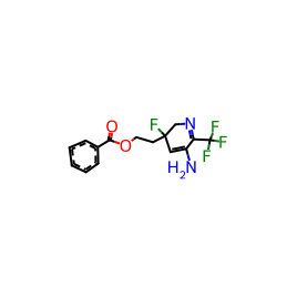 NC1=CC(F)(CCOC(=O)c2ccccc2)CN=C1C(F)(F)F